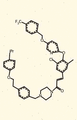 Cc1cc(/C=C/C(=O)N2CCN(Cc3ccc(CCOc4ccc(C(C)C)cc4)cc3)CC2)cc(Cl)c1Oc1ccc(OCc2ccc(C(F)(F)F)cc2)cn1